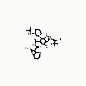 CC(=O)N[C@H]1CCCN(c2c(C(C)NC(=O)c3c(N)nn4cccnc34)cc(Cl)c3cn[nH]c23)C1.O=C(O)C(F)(F)F